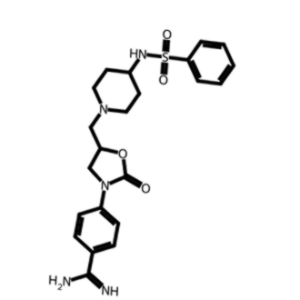 N=C(N)c1ccc(N2CC(CN3CCC(NS(=O)(=O)c4ccccc4)CC3)OC2=O)cc1